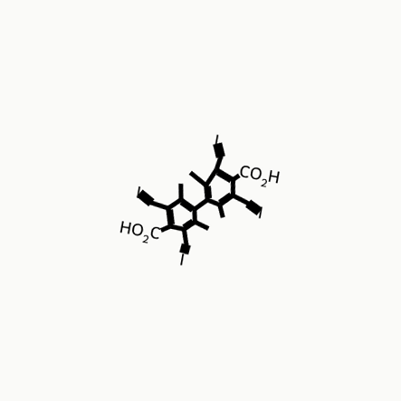 Cc1c(C#I)c(C(=O)O)c(C#I)c(C)c1-c1c(C)c(C#I)c(C(=O)O)c(C#I)c1C